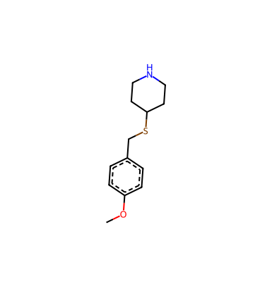 COc1ccc(CSC2CCNCC2)cc1